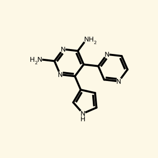 Nc1nc(N)c(-c2cnccn2)c(-c2cc[nH]c2)n1